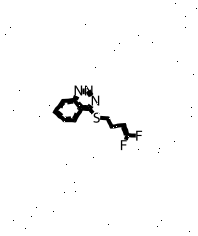 FC(F)=CCCSc1nnnc2ccccc12